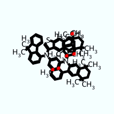 Cc1cc(N(c2cccc3c2-c2ccccc2C3(C)C)c2csc3cc4c(cc23)C(C)(C)CCC4(C)C)cc(N(c2cc3c(cc2-c2ccccc2)C(C)(C)CCC3(C)C)C2C=C3C(=C[C@H]2C)C(C)(C)CCC3(C)C)c1